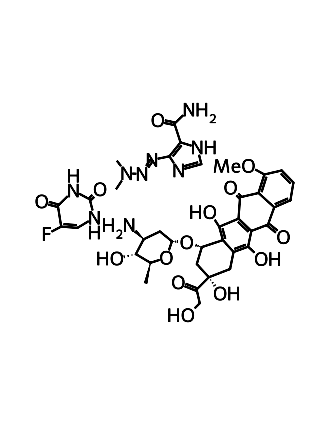 CN(C)/N=N/c1nc[nH]c1C(N)=O.COc1cccc2c1C(=O)c1c(O)c3c(c(O)c1C2=O)C[C@@](O)(C(=O)CO)C[C@@H]3O[C@H]1C[C@H](N)[C@@H](O)[C@H](C)O1.O=c1[nH]cc(F)c(=O)[nH]1